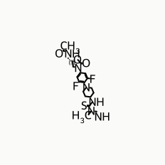 CC(=O)NC[C@H]1CN(c2cc(F)c(N3CCC(NC(=S)N(C)C=N)CC3)c(F)c2)C(=O)O1